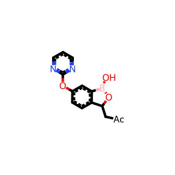 CC(=O)CC1OB(O)c2cc(Oc3ncccn3)ccc21